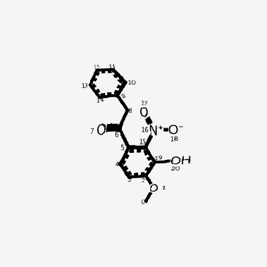 COc1ccc(C(=O)Cc2ccccc2)c([N+](=O)[O-])c1O